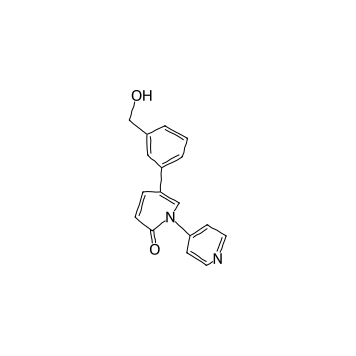 O=c1ccc(-c2cccc(CO)c2)cn1-c1ccncc1